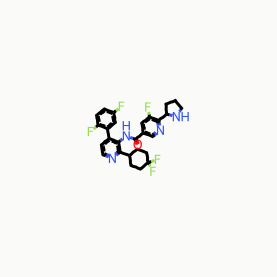 O=C(Nc1c(-c2cc(F)ccc2F)ccnc1C1CCC(F)(F)CC1)c1cnc(C2CCCN2)c(F)c1